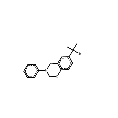 CCC(C)(C)c1ccc2c(c1)CN(c1ccccc1)CO2